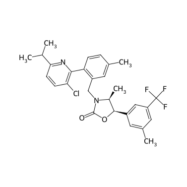 Cc1cc([C@H]2OC(=O)N(Cc3cc(C)ccc3-c3nc(C(C)C)ccc3Cl)[C@H]2C)cc(C(F)(F)F)c1